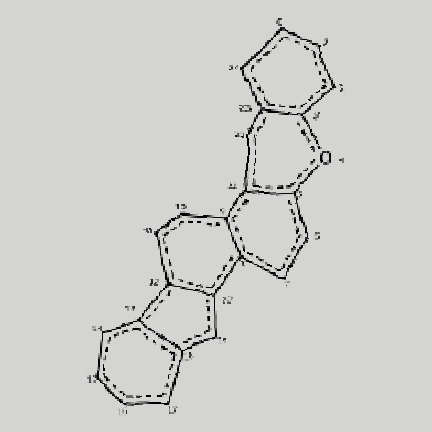 c1ccc2oc3ccc4c(ccc5c6ccccc6cc54)c3cc2c1